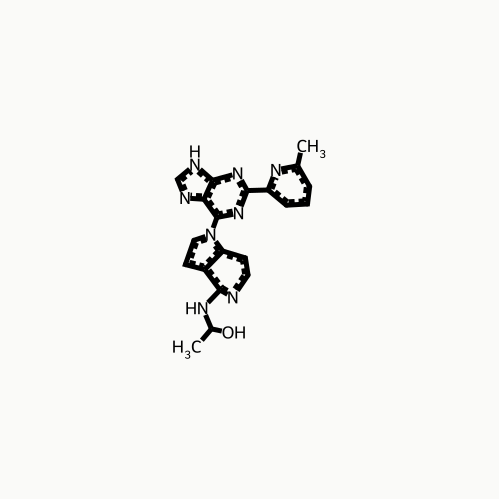 Cc1cccc(-c2nc(-n3ccc4c(NC(C)O)nccc43)c3nc[nH]c3n2)n1